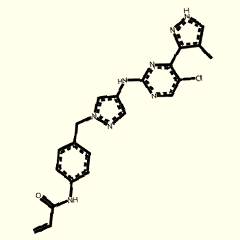 C=CC(=O)Nc1ccc(Cn2cc(Nc3ncc(Cl)c(-c4n[nH]cc4C)n3)cn2)cc1